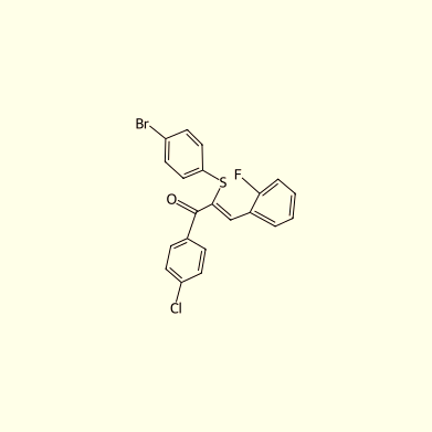 O=C(C(=Cc1ccccc1F)Sc1ccc(Br)cc1)c1ccc(Cl)cc1